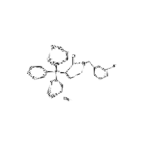 O=C1[C@H]([P+](c2ccccc2)(c2ccccc2)c2ccccc2)CCN1Cc1cccc(F)c1.[Br-]